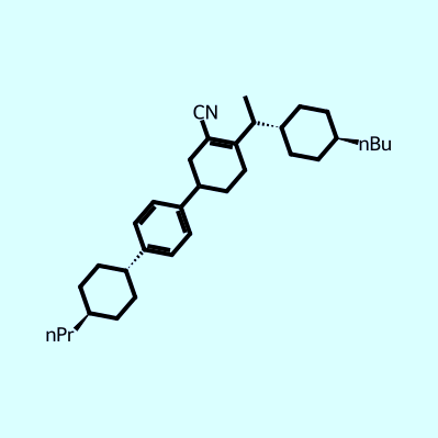 CCCC[C@H]1CC[C@H](C(C)C2=C(C#N)CC(c3ccc([C@H]4CC[C@H](CCC)CC4)cc3)CC2)CC1